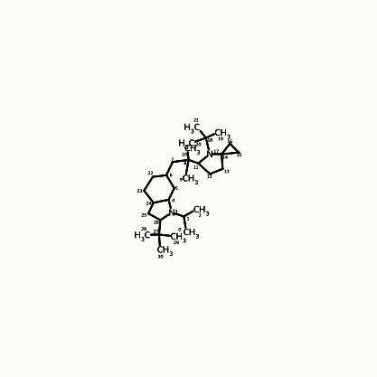 CC(C)N1C2CC(CC(C)(C)C3CCC4(CC4)N3C(C)(C)C)CCC2CC1C(C)(C)C